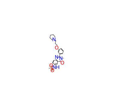 Cn1c(-c2cccc(OCCCN3CCCCC3)c2)nc2ccc(NS(C)(=O)=O)cc2c1=O